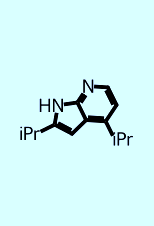 CC(C)c1cc2c(C(C)C)ccnc2[nH]1